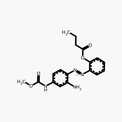 CCCC(=O)Oc1ccccc1/N=N/c1ccc(NC(=O)OC)cc1N